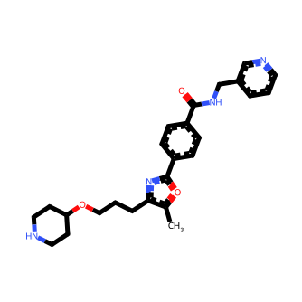 Cc1oc(-c2ccc(C(=O)NCc3cccnc3)cc2)nc1CCCOC1CCNCC1